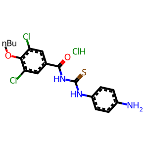 CCCCOc1c(Cl)cc(C(=O)NC(=S)Nc2ccc(N)cc2)cc1Cl.Cl